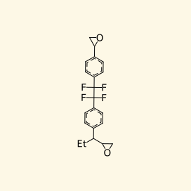 CCC(c1ccc(C(F)(F)C(F)(F)c2ccc(C3CO3)cc2)cc1)C1CO1